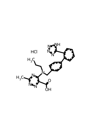 CCCN(Cc1ccc(-c2ccccc2-c2nnn[nH]2)cc1)c1nc(C)nnc1C(=O)O.Cl